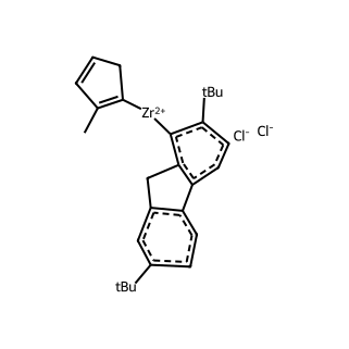 CC1=[C]([Zr+2][c]2c(C(C)(C)C)ccc3c2Cc2cc(C(C)(C)C)ccc2-3)CC=C1.[Cl-].[Cl-]